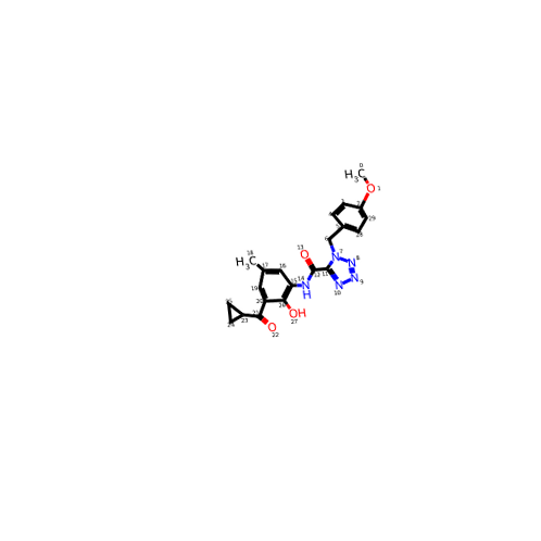 COc1ccc(Cn2nnnc2C(=O)Nc2cc(C)cc(C(=O)C3CC3)c2O)cc1